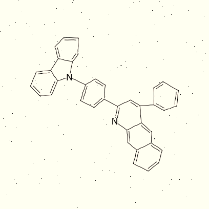 c1ccc(-c2cc(-c3ccc(-n4c5ccccc5c5ccccc54)cc3)nc3cc4ccccc4cc23)cc1